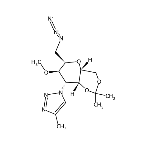 CO[C@@H]1[C@@H](n2cc(C)nn2)[C@H]2OC(C)(C)OC[C@H]2O[C@@H]1CN=[N+]=[N-]